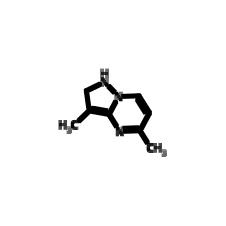 CC1=NC2=C(C)CNN2C=C1